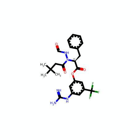 CC(C)(C)CC(=O)N(NC=O)[C@@H](Cc1ccccc1)C(=O)Oc1cc(NC(=N)N)cc(C(F)(F)F)c1